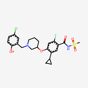 CS(=O)(=O)NC(=O)c1cc(C2CC2)c(OC2CCCN(Cc3cc(Cl)ccc3O)C2)cc1F